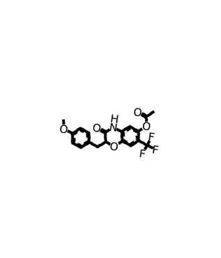 COc1ccc(CC2Oc3cc(C(F)(F)F)c(OC(C)=O)cc3NC2=O)cc1